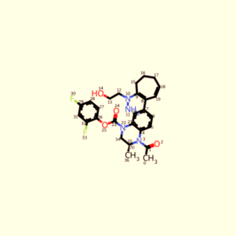 CC(=O)N1c2ccc(C3=C(N(N)CCO)CCCC=C3)cc2N(C(=O)Oc2ccc(F)cc2F)C[C@@H]1C